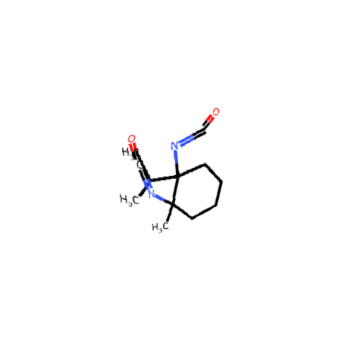 CC(C)C1(N=C=O)CCCCC1(C)N=C=O